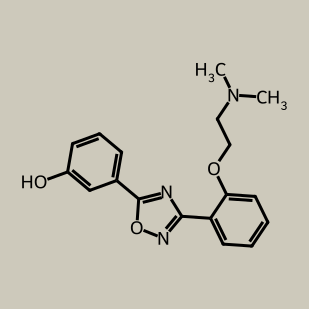 CN(C)CCOc1ccccc1-c1noc(-c2cccc(O)c2)n1